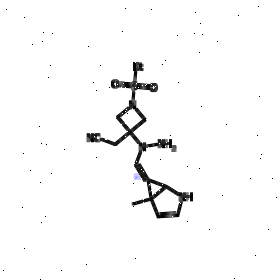 CCS(=O)(=O)N1CC(CC#N)(N(N)/C=C2\C3NC=CC23C)C1